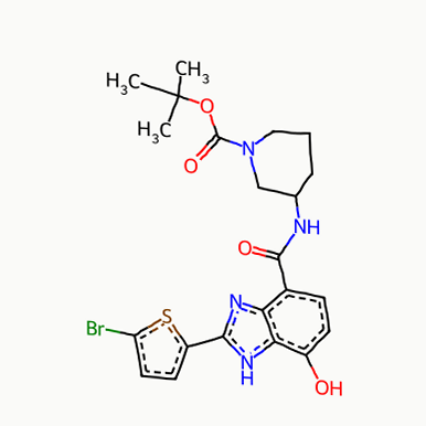 CC(C)(C)OC(=O)N1CCCC(NC(=O)c2ccc(O)c3[nH]c(-c4ccc(Br)s4)nc23)C1